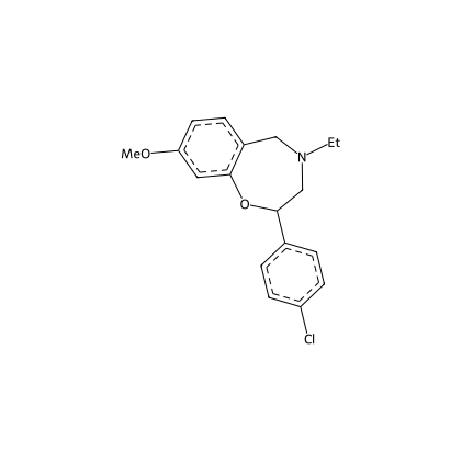 CCN1Cc2ccc(OC)cc2OC(c2ccc(Cl)cc2)C1